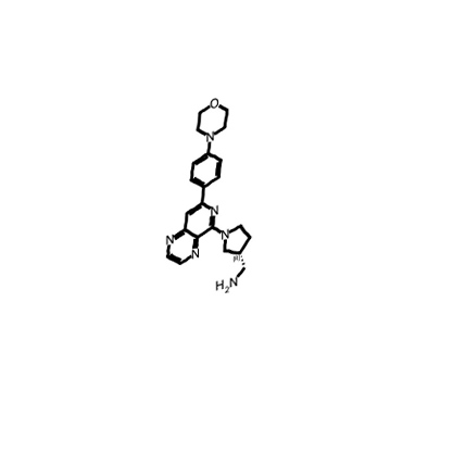 NC[C@H]1CCN(c2nc(-c3ccc(N4CCOCC4)cc3)cc3nccnc23)C1